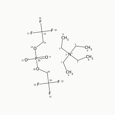 CC[N+](CC)(CC)CC.O=P([O-])(OCC(F)(F)F)OCC(F)(F)F